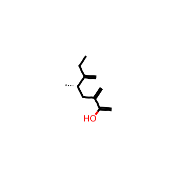 C=C(O)C(=C)C[C@H](C)C(=C)CC